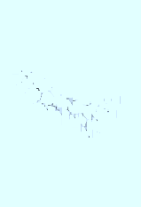 CC(C)Nc1nc(C(C)O)cc2cnc(Nc3ccc(N4CCNCC4)cn3)nc12